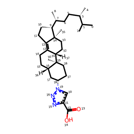 CC(C)[C@@H](C)CC[C@@H](C)[C@H]1CCC2=C3CC[C@H]4C[C@@H](n5cc(C(=O)O)nn5)CC[C@]4(C)[C@H]3CC[C@@]21C